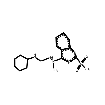 CN(NONC1CCCCC1)c1nc(S(C)(=O)=O)nc2ccccc12